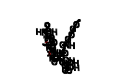 C#CCOCCOCCOCCOCCNC(=O)CCC(=O)Nc1ccc(O[C@@H]2OC(C(=O)OC)[C@@H](O)C(O)C2O)c(COC(=O)N(C)[C@H](C(=O)N[C@H](C(=O)N(C)[C@@H]([C@@H](C)CC)[C@@H](CC(=O)N2CCC[C@H]2[C@H](OC)[C@@H](C)C(=O)N[C@H](C)[C@@H](O)c2ccccc2)OC)C(C)C)C(C)C)c1